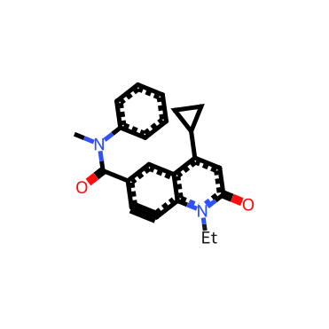 CCn1c(=O)cc(C2CC2)c2cc(C(=O)N(C)c3ccccc3)c#cc21